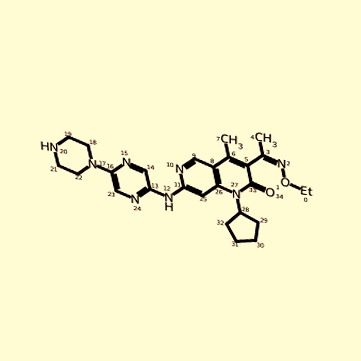 CCO/N=C(/C)c1c(C)c2cnc(Nc3cnc(N4CCNCC4)cn3)cc2n(C2CCCC2)c1=O